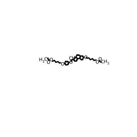 C=CC(=O)OCCCCCCOc1ccc(OC(=C)c2ccc3c(ccc4cc(OCCCCCCOC(=O)C=C)ccc43)c2)cc1